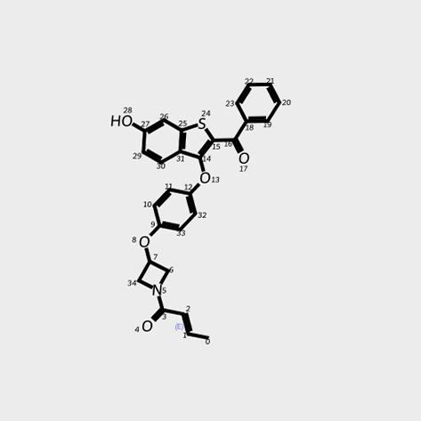 C/C=C/C(=O)N1CC(Oc2ccc(Oc3c(C(=O)c4ccccc4)sc4cc(O)ccc34)cc2)C1